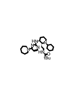 CC(C)(C)C(=O)NCC[C@@H]1[C@@H](Nc2nccc(N3CCCCCC3)n2)CCCN1C1CCCCC1